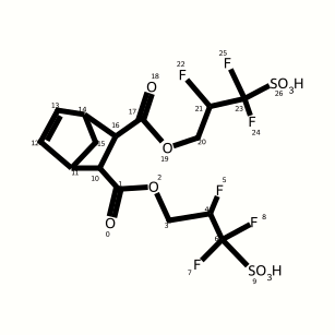 O=C(OCC(F)C(F)(F)S(=O)(=O)O)C1C2C=CC(C2)C1C(=O)OCC(F)C(F)(F)S(=O)(=O)O